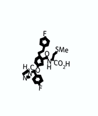 CSCC[C@H](NC(=O)c1cc(OC(C)(c2ccc(F)cc2)n2ccnc2)ccc1CCc1ccc(F)cc1)C(=O)O